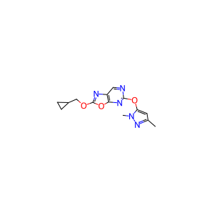 Cc1cc(Oc2ncc3nc(OCC4CC4)oc3n2)n(C)n1